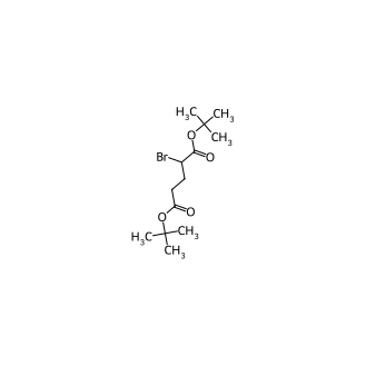 CC(C)(C)OC(=O)CCC(Br)C(=O)OC(C)(C)C